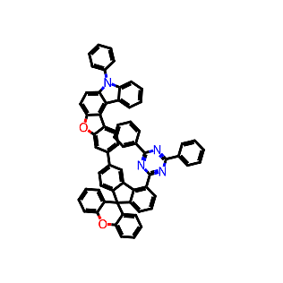 c1ccc(-c2nc(-c3ccccc3)nc(-c3cccc4c3-c3cc(-c5ccc6c(c5)oc5ccc7c(c8ccccc8n7-c7ccccc7)c56)ccc3C43c4ccccc4Oc4ccccc43)n2)cc1